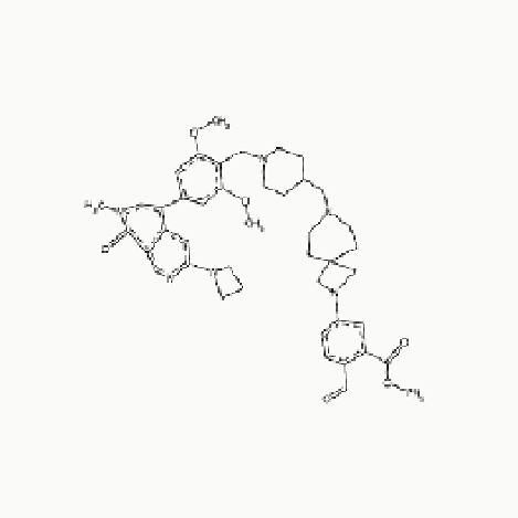 COc1cc(-c2cn(C)c(=O)c3cnc(N4CCC4)cc23)cc(OC)c1CN1CCC(CN2CCC3(CC2)CN(c2ccc(C=O)c(C(=O)OP)c2)C3)CC1